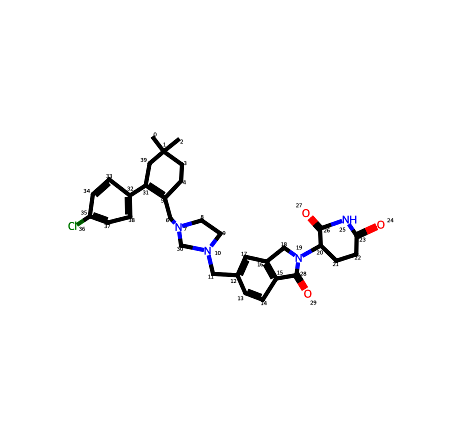 CC1(C)CCC(CN2CCN(Cc3ccc4c(c3)CN(C3CCC(=O)NC3=O)C4=O)C2)=C(c2ccc(Cl)cc2)C1